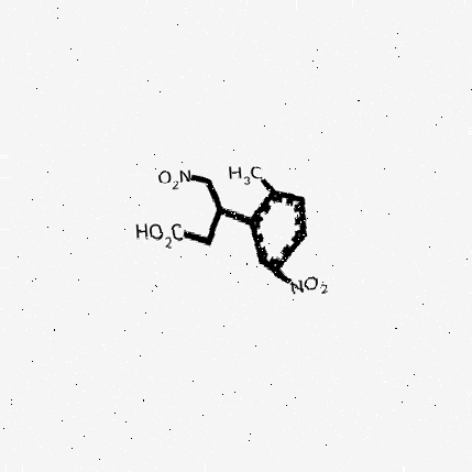 Cc1ccc([N+](=O)[O-])cc1C(CC(=O)O)C[N+](=O)[O-]